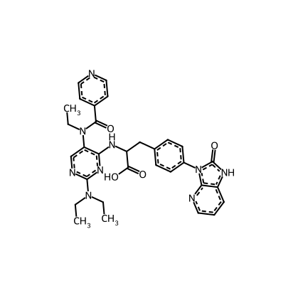 CCN(CC)c1ncc(N(CC)C(=O)c2ccncc2)c(NC(Cc2ccc(-n3c(=O)[nH]c4cccnc43)cc2)C(=O)O)n1